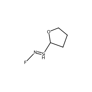 F/N=[SiH]/C1CCCO1